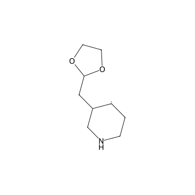 [CH]1CCNCC1CC1OCCO1